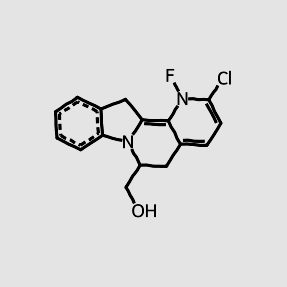 OCC1CC2=CC=C(Cl)N(F)C2=C2Cc3ccccc3N21